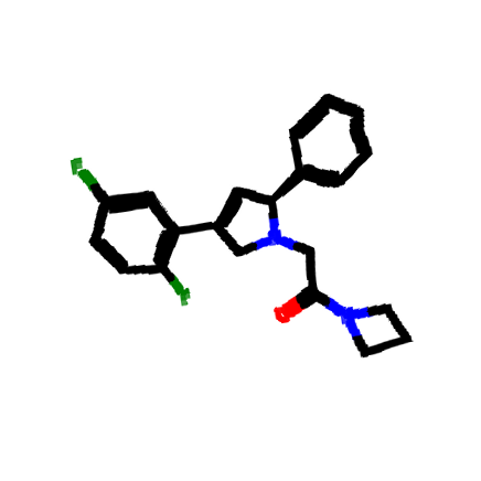 O=C(CN1CC(c2cc(F)ccc2F)=C[C@H]1c1ccccc1)N1CCC1